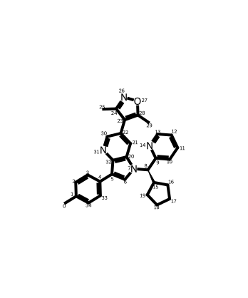 Cc1ccc(-c2cn([C@@H](c3ccccn3)C3CCCC3)c3cc(-c4c(C)noc4C)cnc23)cc1